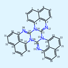 c1cc2c3c(cccc3c1)N1C(=N2)N2C(=Nc3cccc4cccc2c34)N2C1=Nc1cccc3cccc2c13